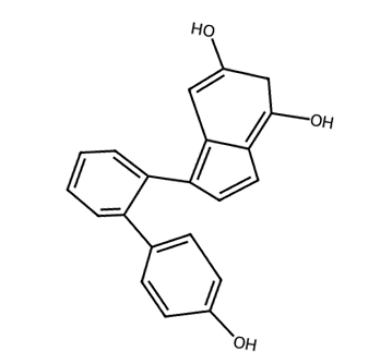 OC1=CC2=C(c3ccccc3-c3ccc(O)cc3)C=CC2=C(O)C1